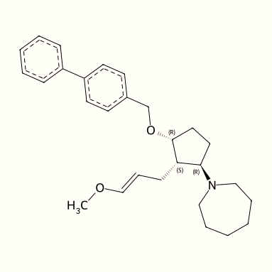 COC=CC[C@H]1[C@H](N2CCCCCC2)CC[C@H]1OCc1ccc(-c2ccccc2)cc1